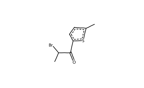 Cc1ccc(C(=O)C(C)Br)s1